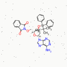 CC(C)(C)[Si](O[C@H]1C[C@H](n2cnc3c(N)ncnc32)O[C@@H]1CON1C(=O)c2ccccc2C1=O)(c1ccccc1)c1ccccc1